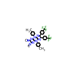 [C-]#[N+]c1nc2c(nc1[N+]#[C-])N(c1ccc(C)cc1)c1nc(-c3ccc(C(F)(F)F)cc3)c(-c3ccc(C(F)(F)F)cc3)nc1N2c1ccc(C)cc1